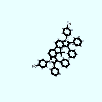 CC1(C)c2c(ccc3c2c(-c2ccccc2)c(-c2ccccc2)n3-c2ccc(C#N)cc2)-c2ccc3c(c(-c4ccccc4)c(-c4ccccc4)n3-c3ccc(C#N)cc3)c21